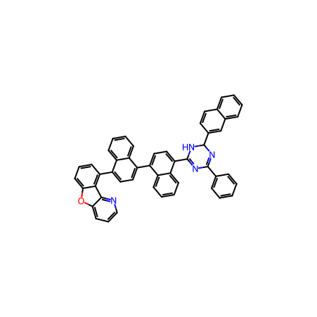 c1ccc(C2=NC(c3ccc4ccccc4c3)NC(c3ccc(-c4ccc(-c5cccc6oc7cccnc7c56)c5ccccc45)c4ccccc34)=N2)cc1